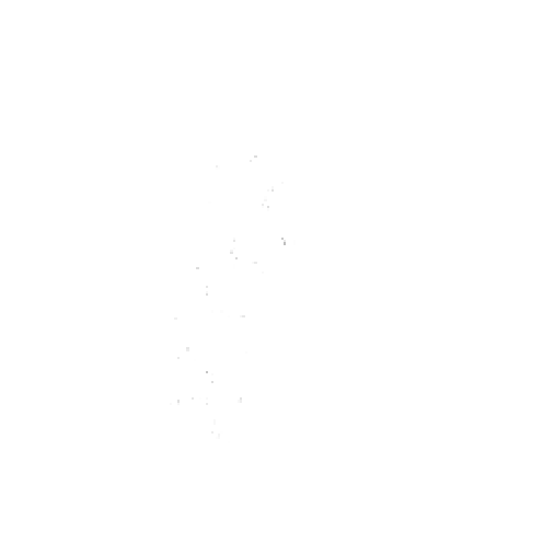 CS(=O)(=O)c1ccc(On2cnc3ccccc32)cc1